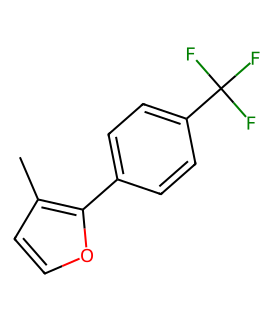 Cc1ccoc1-c1ccc(C(F)(F)F)cc1